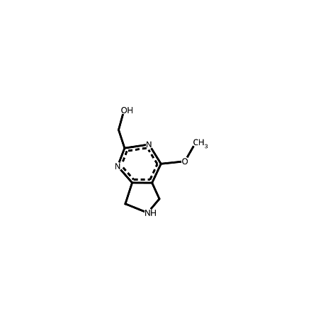 COc1nc(CO)nc2c1CNC2